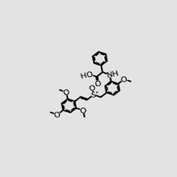 COc1cc(OC)c(C=C[S+]([O-])Cc2ccc(OC)c(NC(C(=O)O)c3ccccc3)c2)c(OC)c1